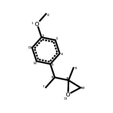 COc1ccc(C(C)C2(C)CO2)cc1